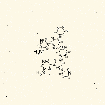 Nc1cncc(-c2cc(-c3cccnc3)cc(-c3cccc(-c4cc(-c5cccnc5)cc(-c5cncc(N)c5)c4)c3)c2)c1